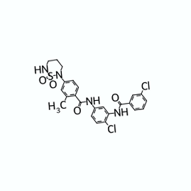 Cc1cc(N2CCCNS2(=O)=O)ccc1C(=O)Nc1ccc(Cl)c(NC(=O)c2cccc(Cl)c2)c1